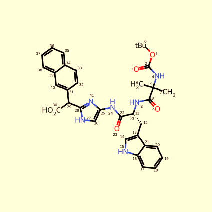 CC(C)(C)OC(=O)NC(C)(C)C(=O)N[C@H](Cc1c[nH]c2ccccc12)C(=O)Nc1c[nH]c(C(C(=O)O)c2ccc3ccccc3c2)n1